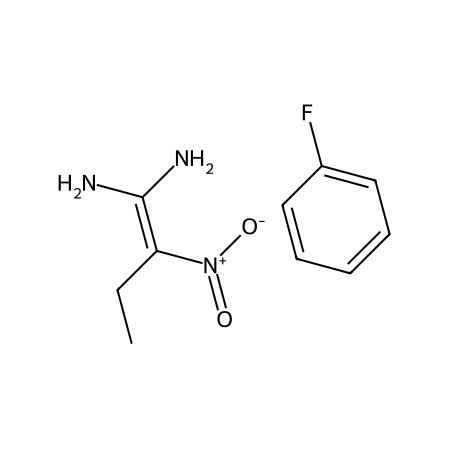 CCC(=C(N)N)[N+](=O)[O-].Fc1ccccc1